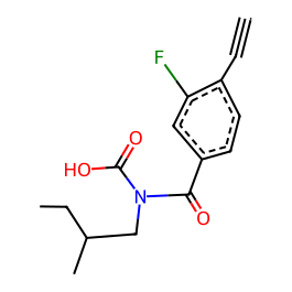 [C]#Cc1ccc(C(=O)N(CC(C)CC)C(=O)O)cc1F